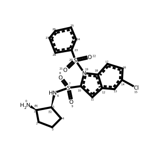 N[C@@H]1CCC[C@@H]1NS(=O)(=O)c1cc2cc(Cl)ccc2n1S(=O)(=O)c1ccccc1